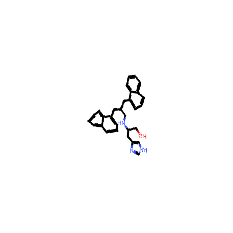 OCC(Cc1c[nH]cn1)NCC(Cc1cccc2ccccc12)Cc1cccc2ccccc12